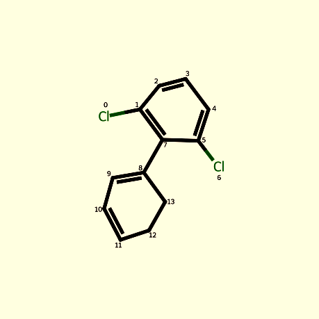 Clc1cccc(Cl)c1C1=CC=CCC1